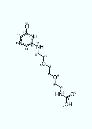 O=C(O)NCCOCCOCCNc1cncc(Cl)n1